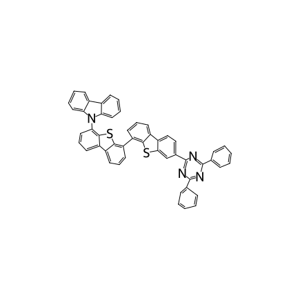 c1ccc(-c2nc(-c3ccccc3)nc(-c3ccc4c(c3)sc3c(-c5cccc6c5sc5c(-n7c8ccccc8c8ccccc87)cccc56)cccc34)n2)cc1